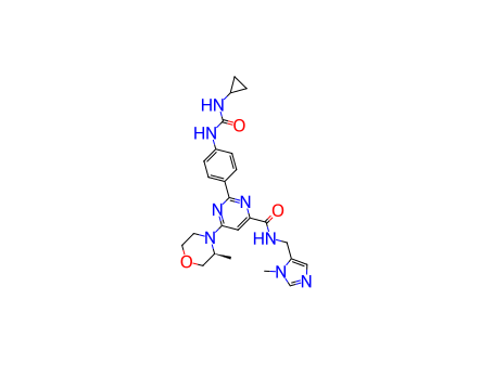 C[C@H]1COCCN1c1cc(C(=O)NCc2cncn2C)nc(-c2ccc(NC(=O)NC3CC3)cc2)n1